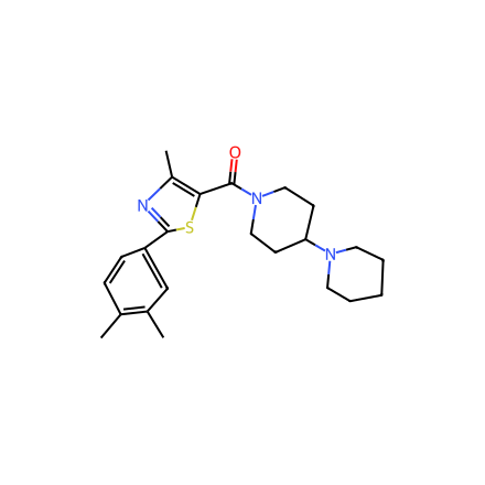 Cc1ccc(-c2nc(C)c(C(=O)N3CCC(N4CCCCC4)CC3)s2)cc1C